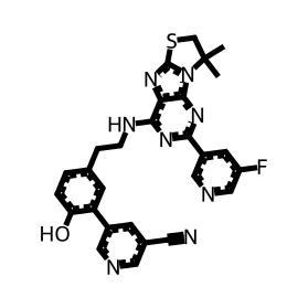 CC1(C)CSc2nc3c(NCCc4ccc(O)c(-c5cncc(C#N)c5)c4)nc(-c4cncc(F)c4)nc3n21